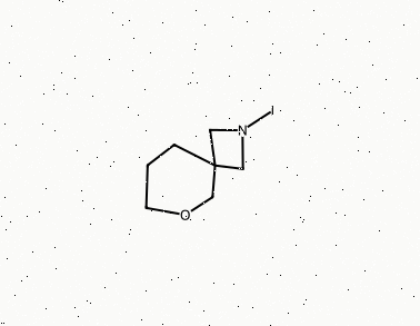 IN1CC2(CCCOC2)C1